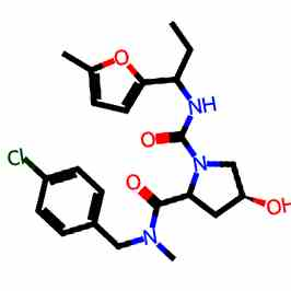 CCC(NC(=O)N1C[C@@H](O)CC1C(=O)N(C)Cc1ccc(Cl)cc1)c1ccc(C)o1